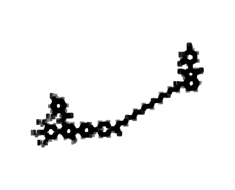 C[C@@H]1CN(c2cc(F)c(-c3cnc(N4CCN(C(=O)CCOCCOCCOCCOCCNc5cccc6c5C(=O)N(C5CCC(=O)NC5=O)C6=O)CC4)nc3)cc2NC(=O)c2ccc(F)cc2C(F)(F)F)C[C@H](C)N1C